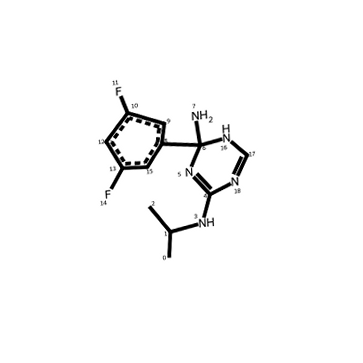 CC(C)NC1=NC(N)(c2cc(F)cc(F)c2)NC=N1